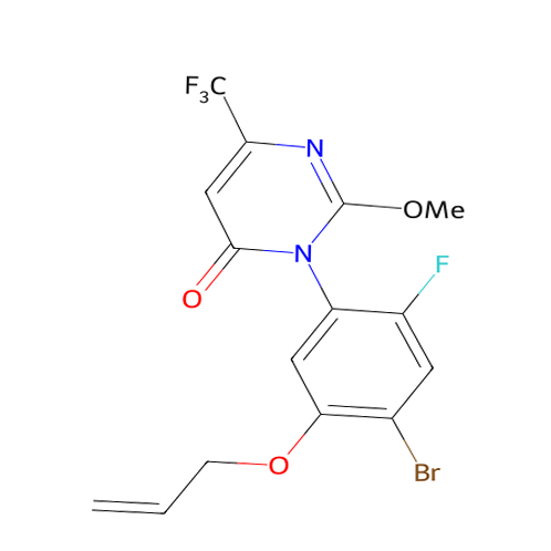 C=CCOc1cc(-n2c(OC)nc(C(F)(F)F)cc2=O)c(F)cc1Br